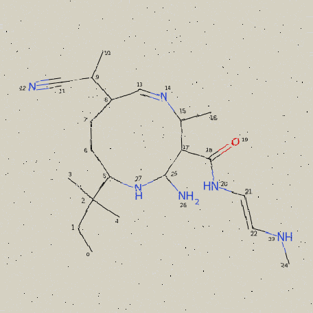 CCC(C)(C)C1CCC(C(C)C#N)/C=N\C(C)C(C(=O)N/C=C/NC)C(N)N1